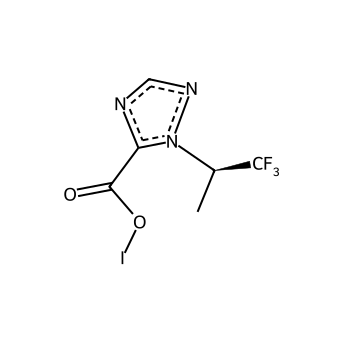 C[C@@H](n1ncnc1C(=O)OI)C(F)(F)F